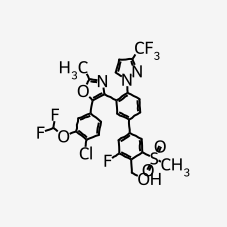 Cc1nc(-c2cc(-c3cc(F)c(CO)c(S(C)(=O)=O)c3)ccc2-n2ccc(C(F)(F)F)n2)c(-c2ccc(Cl)c(OC(F)F)c2)o1